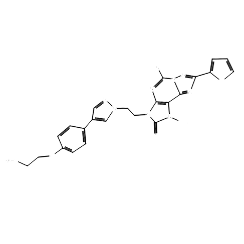 COCCOc1ccc(-c2cnn(CCn3c(=O)n(C)c4c3nc(N)n3nc(-c5ccco5)nc43)c2)cc1